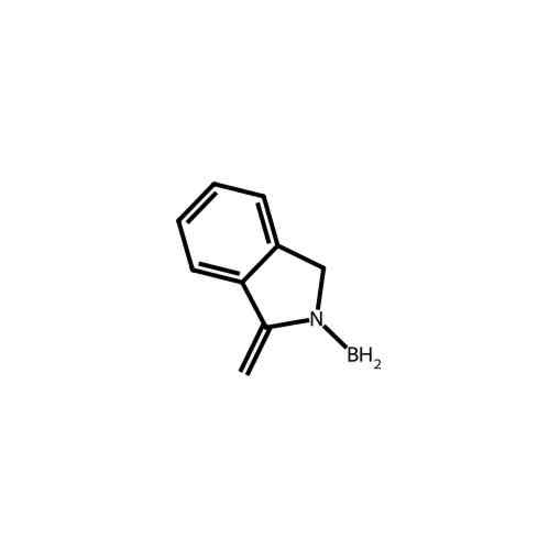 BN1Cc2ccccc2C1=C